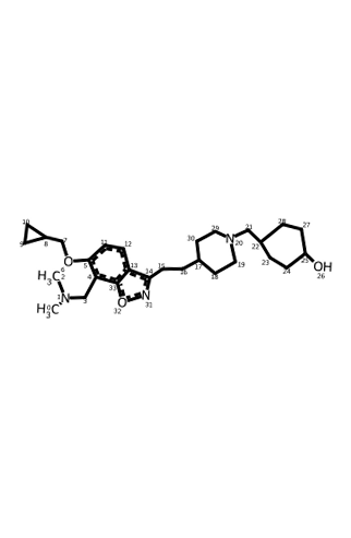 CN(C)Cc1c(OCC2CC2)ccc2c(CCC3CCN(CC4CCC(O)CC4)CC3)noc12